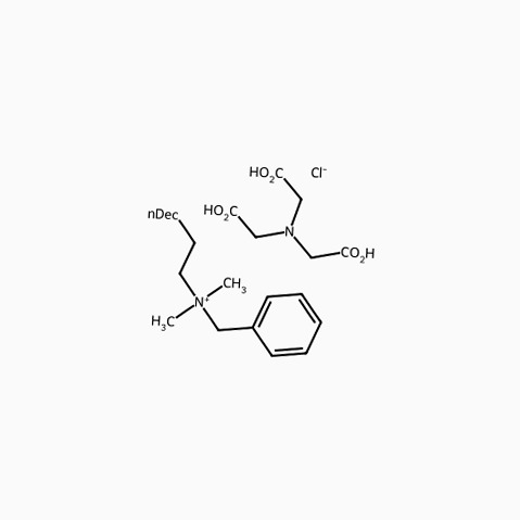 CCCCCCCCCCCC[N+](C)(C)Cc1ccccc1.O=C(O)CN(CC(=O)O)CC(=O)O.[Cl-]